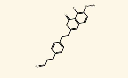 C=CCCc1ccc(CCc2cc3ccc(OCCC)c(F)c3c(=O)o2)cc1